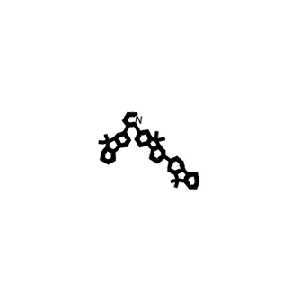 CC1(C)c2ccccc2-c2ccc(-c3ccc4c(c3)C(C)(C)c3cc(-c5ncccc5-c5ccc6c(c5)C(C)(C)c5ccccc5-6)ccc3-4)cc21